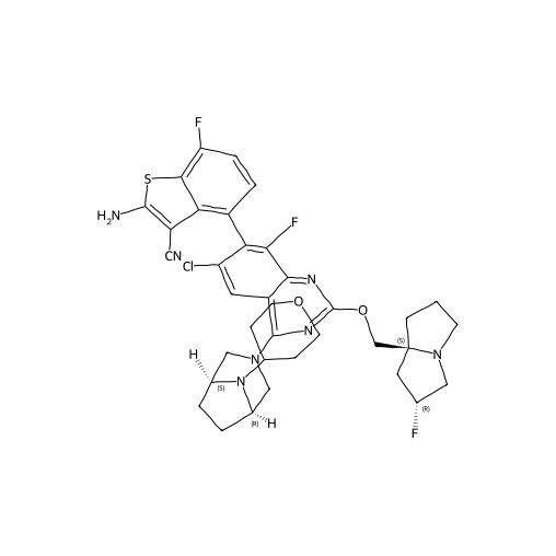 N#Cc1c(N)sc2c(F)ccc(-c3c(Cl)cc4c(N5C[C@H]6CC[C@@H](C5)N6C5CCOCC5)nc(OC[C@@]56CCCN5C[C@H](F)C6)nc4c3F)c12